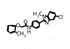 Cc1ccccc1OCC(=O)Nc1ccc(-c2nc3cc(Cl)ccc3n2C)cc1